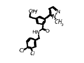 Cn1nccc1-c1cc(CO)cc(C(=O)NCc2ccc(Cl)c(Cl)c2)c1